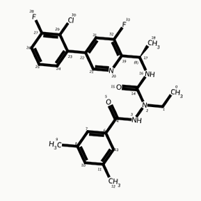 CCN(NC(=O)c1cc(C)cc(C)c1)C(=O)N[C@H](C)c1ncc(-c2cccc(F)c2Cl)cc1F